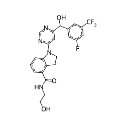 O=C(NCCO)c1cccc2c1CCN2c1cc(C(O)c2cc(F)cc(C(F)(F)F)c2)ncn1